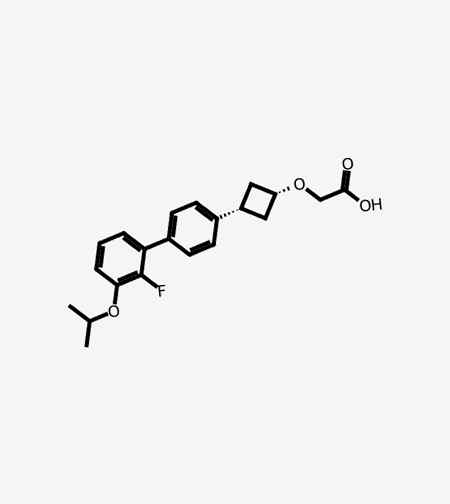 CC(C)Oc1cccc(-c2ccc([C@H]3C[C@@H](OCC(=O)O)C3)cc2)c1F